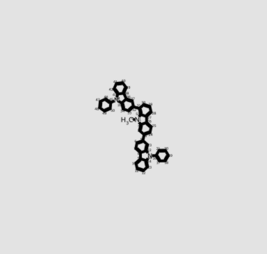 Cn1c2cc(-c3ccc4c5ccccc5n(-c5ccccc5)c4c3)ccc2c2cccc(-c3ccc4c(c3)c3ccccc3n4-c3ccccc3)c21